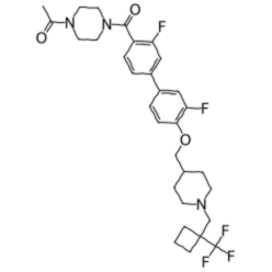 CC(=O)N1CCN(C(=O)c2ccc(-c3ccc(OCC4CCN(CC5(C(F)(F)F)CCC5)CC4)c(F)c3)cc2F)CC1